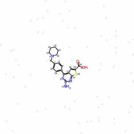 Nc1nc(-c2ccc(CN3CCCCC3)cc2)c2cc(C(=O)O)sc2n1